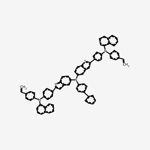 C=Cc1ccc(N(c2ccc(-c3cc4cc(N(c5ccc(-c6ccccc6)cc5)c5ccc6sc(-c7ccc(N(c8ccc(C=C)cc8)c8cccc9ccccc89)cc7)cc6c5)ccc4s3)cc2)c2cccc3ccccc23)cc1